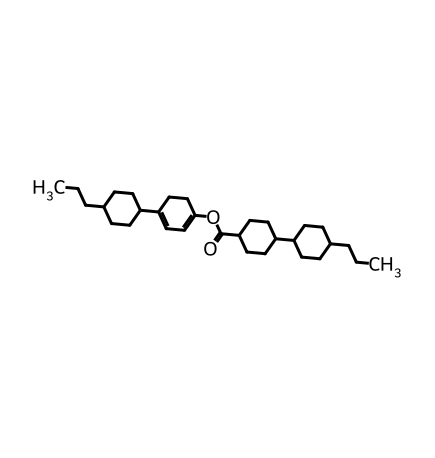 CCCC1CCC(C2=CC=C(OC(=O)C3CCC(C4CCC(CCC)CC4)CC3)CC2)CC1